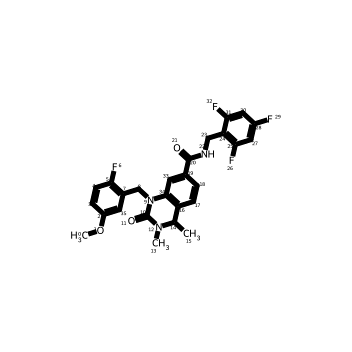 COc1ccc(F)c(CN2C(=O)N(C)C(C)c3ccc(C(=O)NCc4c(F)cc(F)cc4F)cc32)c1